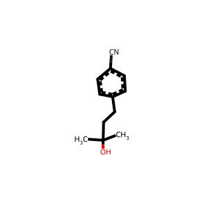 CC(C)(O)CCc1ccc(C#N)cc1